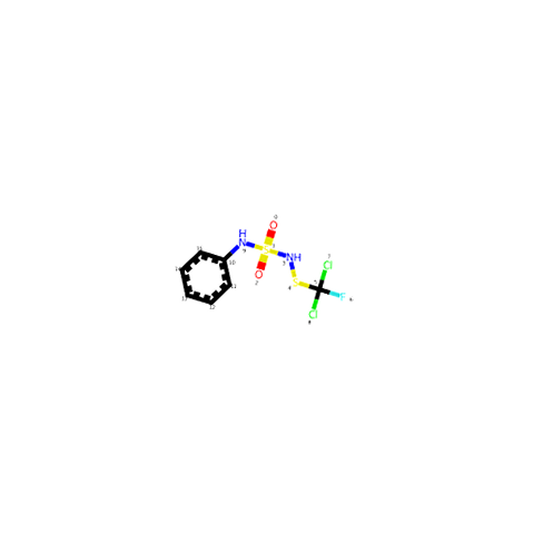 O=S(=O)(NSC(F)(Cl)Cl)Nc1ccccc1